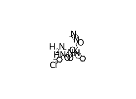 Cc1cc(NC(=O)[C@H](CCN)NC(=O)[C@@H]2Cc3ccccc3CN2C(=O)CCC(=O)N2CCN(C)[C@H](C)C2)ccc1Cl